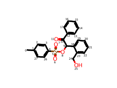 Cc1ccc(S(=O)(=O)OC(C(=O)c2ccccc2)c2ccccc2CO)cc1